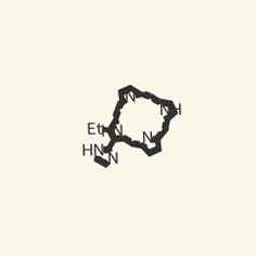 CCc1c(-c2ncc[nH]2)c2cc3nc(cc4ccc(cc5nc(cc1[nH]2)C=C5)[nH]4)C=C3